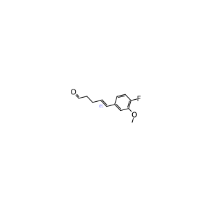 COc1cc(/C=C/CCC=O)ccc1F